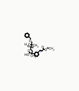 CCOC(=O)/C=C/c1cccc(C(C)(CCC(F)(F)C(C)(C)COCc2ccccc2)C(=O)O)c1